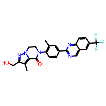 Cc1cc(-c2ncc3cc(C(F)(F)F)ccc3n2)ccc1N1CCn2nc(CO)c(C)c2C1=O